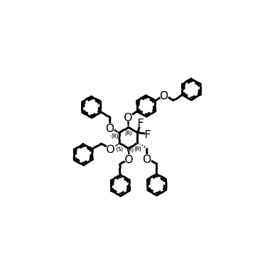 FC1(F)[C@H](COCc2ccccc2)[C@@H](OCc2ccccc2)[C@H](OCc2ccccc2)[C@@H](OCc2ccccc2)[C@H]1Oc1ccc(OCc2ccccc2)cc1